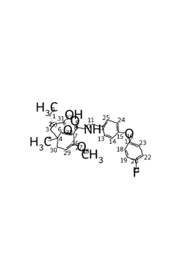 CC[C@@H](CC1(C)C=C(C(=O)NCc2ccc(Oc3ccc(F)cc3)cc2)C(OC)=CC1)C(=O)O